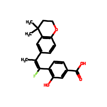 C/C(=C(\F)c1ccc(C(=O)O)cc1O)c1ccc2c(c1)C(C)(C)CCO2